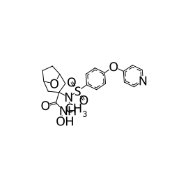 CN(C1(C(=O)NO)CC2CCC(C1)O2)S(=O)(=O)c1ccc(Oc2ccncc2)cc1